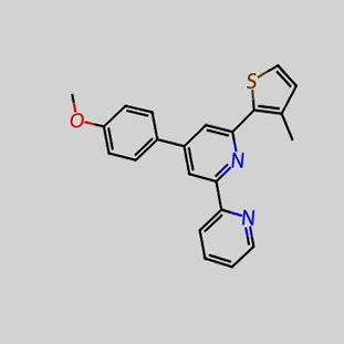 COc1ccc(-c2cc(-c3ccccn3)nc(-c3sccc3C)c2)cc1